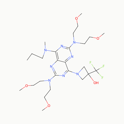 CCCN(C)c1nc(N(CCOC)CCOC)nc2c(N3CC(O)(C(F)(F)F)C3)nc(N(CCOC)CCOC)nc12